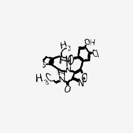 CCNC(=O)c1noc(-c2cc(Cl)c(O)cc2O)c1NCc1sccc1C